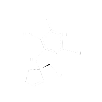 Nc1nc(N[C@]2(CO)C=CCC2)c(N)c(=O)[nH]1